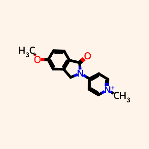 COc1ccc2c(c1)CN(c1cc[n+](C)cc1)C2=O